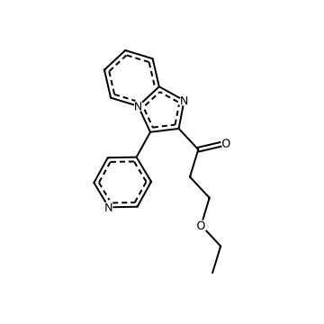 CCOCCC(=O)c1nc2ccccn2c1-c1ccncc1